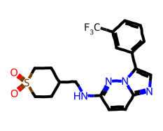 O=S1(=O)CCC(CNc2ccc3ncc(-c4cccc(C(F)(F)F)c4)n3n2)CC1